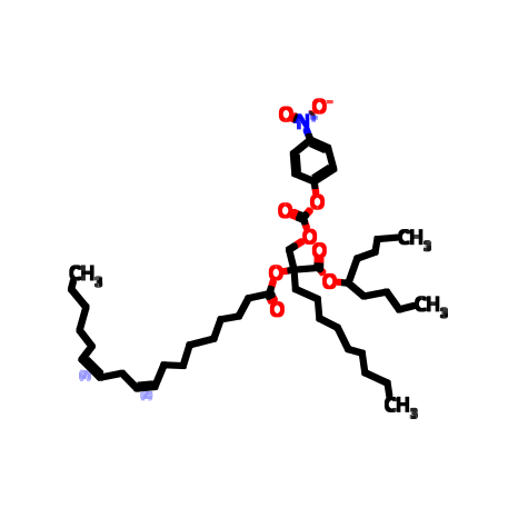 CCCCC/C=C\C/C=C\CCCCCCCC(=O)OC(CCCCCCCCC)(COC(=O)Oc1ccc([N+](=O)[O-])cc1)C(=O)OC(CCCC)CCCC